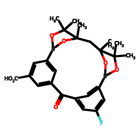 CC1(C)OB2OC1(C)CC1(C)OB(OC1(C)C)c1cc(C(=O)O)cc(c1)C(=O)c1cc(F)cc2c1